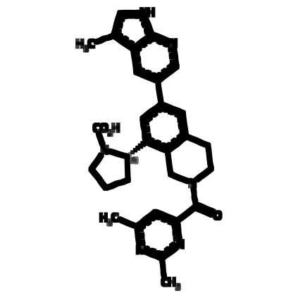 Cc1cc(C(=O)N2CCc3cc(-c4cnc5[nH]cc(C)c5c4)cc([C@@H]4CCCN4C(=O)O)c3C2)nc(C)n1